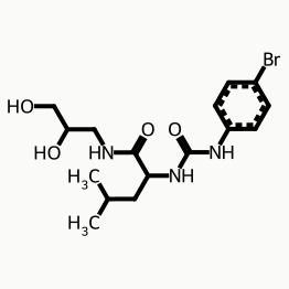 CC(C)CC(NC(=O)Nc1ccc(Br)cc1)C(=O)NCC(O)CO